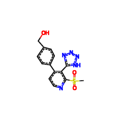 CS(=O)(=O)c1nccc(-c2ccc(CO)cc2)c1-c1nnn[nH]1